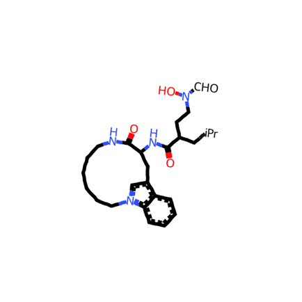 CC(C)CC(CCN(O)C=O)C(=O)NC1Cc2cn(c3ccccc23)CCCCCCNC1=O